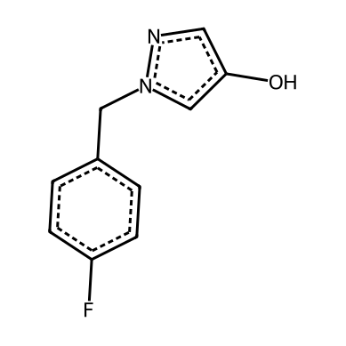 Oc1cnn(Cc2ccc(F)cc2)c1